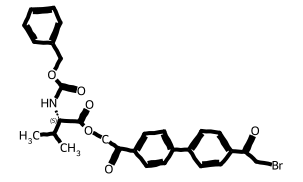 CC(C)[C@H](NC(=O)OCc1ccccc1)C(=O)OCC(=O)c1ccc(-c2ccc(C(=O)CBr)cc2)cc1